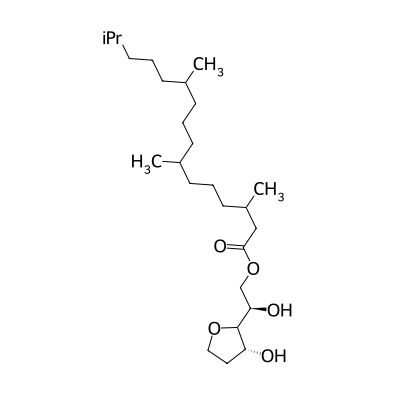 CC(C)CCCC(C)CCCC(C)CCCC(C)CC(=O)OC[C@@H](O)C1OCC[C@H]1O